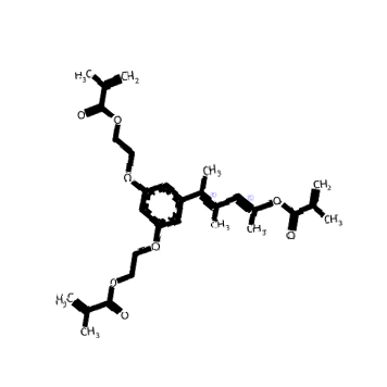 C=C(C)C(=O)OCCOc1cc(OCCOC(=O)C(=C)C)cc(/C(C)=C(C)/C=C(\C)OC(=O)C(=C)C)c1